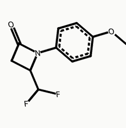 COc1ccc(N2C(=O)CC2C(F)F)cc1